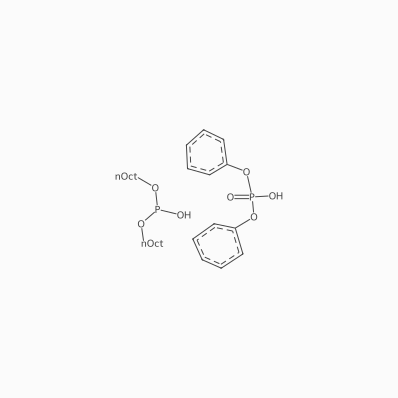 CCCCCCCCOP(O)OCCCCCCCC.O=P(O)(Oc1ccccc1)Oc1ccccc1